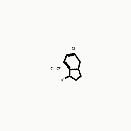 [Cl-].[Cl-].[Cl-].[Ti+3][CH]1CCC2CC=CC=C12